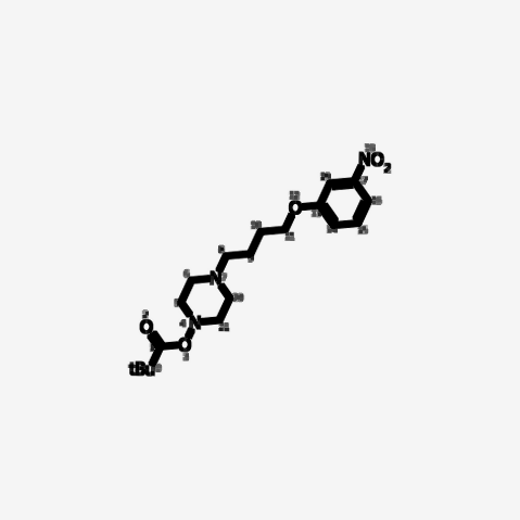 CC(C)(C)C(=O)ON1CCN(CCCCOc2cccc([N+](=O)[O-])c2)CC1